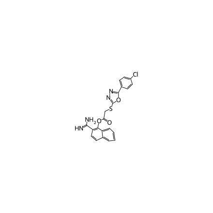 N=C(N)c1ccc2ccccc2c1OC(=O)CSc1nnc(-c2ccc(Cl)cc2)o1